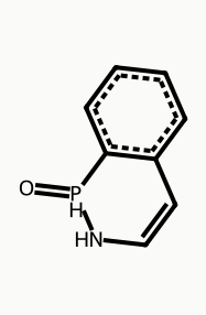 O=[PH]1NC=Cc2ccccc21